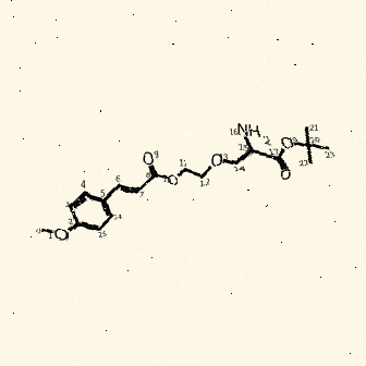 COc1ccc(/C=C/C(=O)OCCOCC(N)C(=O)OC(C)(C)C)cc1